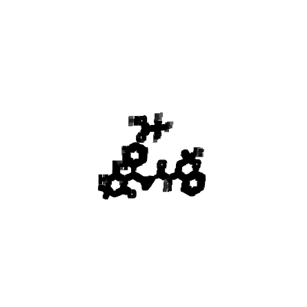 CCC1(C)CC(NC(=O)[C@@H]2C[C@H]2[C@H](c2cccnc2)N2C(=N)NC(C)(C)CC2=O)c2ccccc2O1.O=C(O)C(F)(F)F